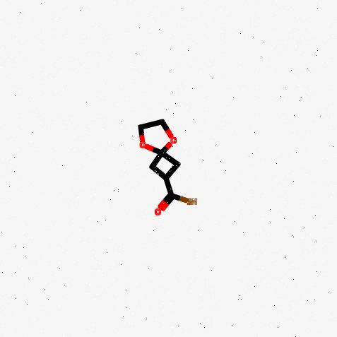 O=C(S)C1CC2(C1)OCCO2